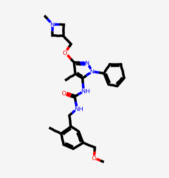 COCc1ccc(C)c(CNC(=O)Nc2c(C)c(OCC3CN(C)C3)nn2-c2ccccc2)c1